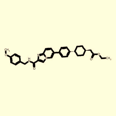 CCOC(=O)C[C@H]1CC[C@H](c2ccc(-c3ccc4nc(C(=O)NCc5ccc(OC)cc5)cn4c3)cc2)CC1